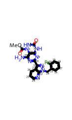 COC(=O)N1NC(=O)Nc2nc(-c3nn(Cc4ccccc4F)c4ncccc34)nc(N)c21